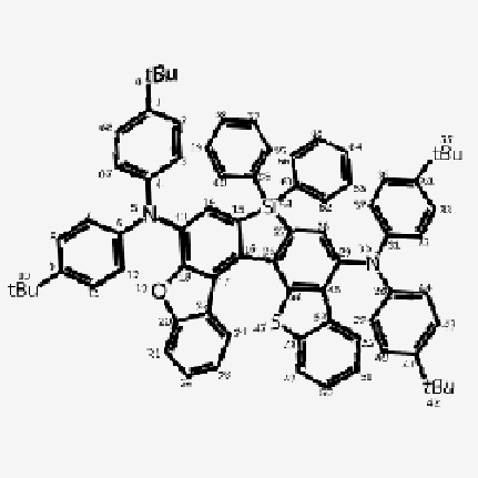 CC(C)(C)c1ccc(N(c2ccc(C(C)(C)C)cc2)c2cc3c(c4c2oc2ccccc24)-c2c(cc(N(c4ccc(C(C)(C)C)cc4)c4ccc(C(C)(C)C)cc4)c4c2sc2ccccc24)[Si]3(c2ccccc2)c2ccccc2)cc1